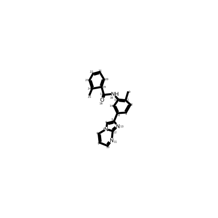 Cc1ccc(-c2cn3cccnc3n2)cc1NC(=O)c1ccccc1C